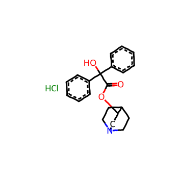 Cl.O=C(OC1CN2CCC1CC2)C(O)(c1ccccc1)c1ccccc1